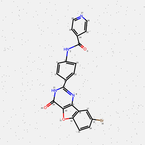 O=C(Nc1ccc(-c2nc3c(oc4ccc(Br)cc43)c(=O)[nH]2)cc1)c1ccncc1